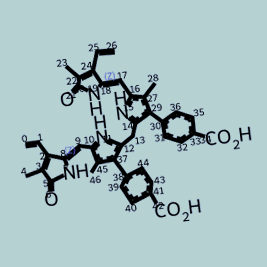 C=CC1=C(C)C(=O)N/C1=C\c1[nH]c(Cc2[nH]c(/C=C3\NC(=O)C(C)=C3C=C)c(C)c2-c2ccc(C(=O)O)cc2)c(-c2ccc(C(=O)O)cc2)c1C